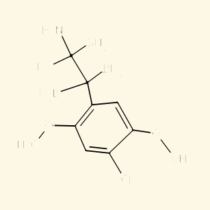 BC(C)(N)C(B)(B)c1cc(OC)c(Cl)cc1OC